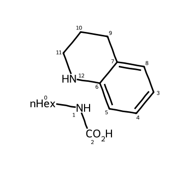 CCCCCCNC(=O)O.c1ccc2c(c1)CCCN2